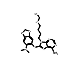 CC(C)CNCCCCn1c(Sc2cc3c(cc2N(C)C)OCO3)nc2c(N)ncnc21